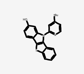 CC(C)(C)c1ccnc(-n2c3cc(O)ccc3c3sc4ccccc4c32)c1